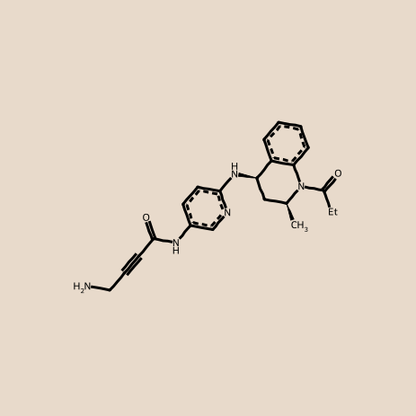 CCC(=O)N1c2ccccc2[C@H](Nc2ccc(NC(=O)C#CCN)cn2)C[C@@H]1C